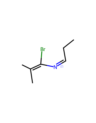 CC/C=N\C(Br)=C(C)C